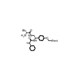 CCCC(C)COc1ccc([C@H](CNC(=O)[C@@H](N)[C@H](C)CC)NC(=O)C(C)c2ccccc2)cc1